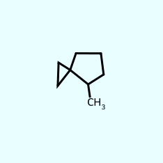 CC1CCCC12CC2